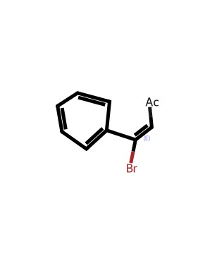 CC(=O)/C=C(/Br)c1ccccc1